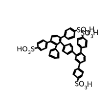 O=S(=O)(O)c1ccc(-c2ccc(-c3ccc(S(=O)(=O)O)cc3)c(-c3ccc(-c4c(-c5ccc(S(=O)(=O)O)cc5)ccc(-c5ccc(S(=O)(=O)O)cc5)c4-c4ccccc4)cc3)c2)cc1